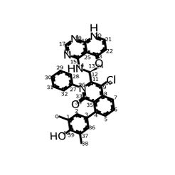 Cc1cc(-c2cccc3c(Cl)c([C@H](C)Nc4ncnc5[nH]ccc(=O)c45)n(-c4ccccc4)c(=O)c23)cc(C)c1O